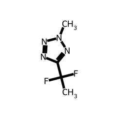 Cn1nnc(C(C)(F)F)n1